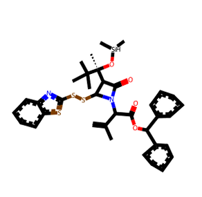 C=C(C)C(C(=O)OC(c1ccccc1)c1ccccc1)N1C(=O)C([C@](C)(O[SiH](C)C)C(C)(C)C)C1SSc1nc2ccccc2s1